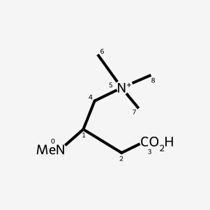 CNC(CC(=O)O)C[N+](C)(C)C